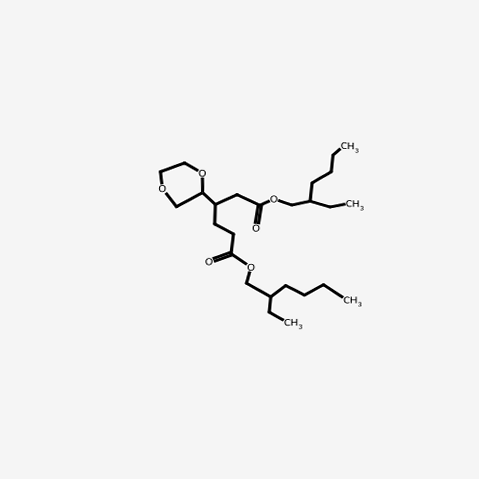 CCCCC(CC)COC(=O)CCC(CC(=O)OCC(CC)CCCC)C1COCCO1